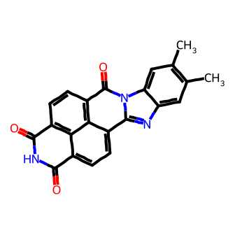 Cc1cc2nc3c4ccc5c6c(ccc(c(=O)n3c2cc1C)c64)C(=O)NC5=O